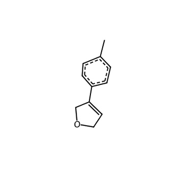 Cc1ccc(C2=CCOC2)cc1